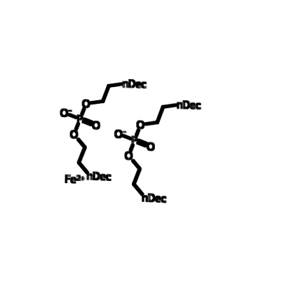 CCCCCCCCCCCCOP(=O)([O-])OCCCCCCCCCCCC.CCCCCCCCCCCCOP(=O)([O-])OCCCCCCCCCCCC.[Fe+2]